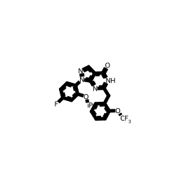 CC(C)Oc1cc(F)ccc1-n1ncc2c(=O)[nH]c(Cc3ccccc3OC(F)(F)F)nc21